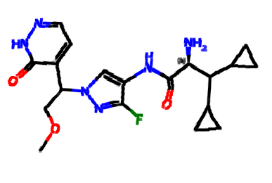 COCC(c1ccn[nH]c1=O)n1cc(NC(=O)[C@@H](N)C(C2CC2)C2CC2)c(F)n1